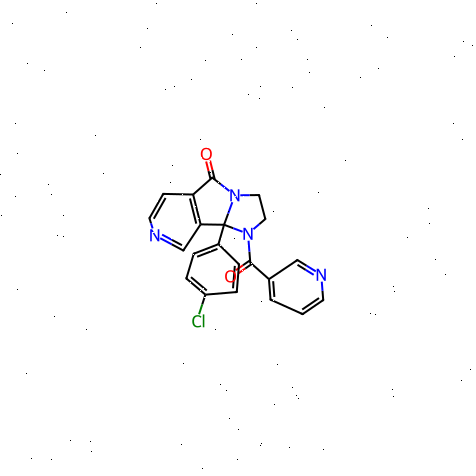 O=C(c1cccnc1)N1CCN2C(=O)c3ccncc3C12c1ccc(Cl)cc1